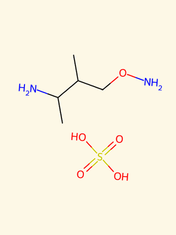 CC(N)C(C)CON.O=S(=O)(O)O